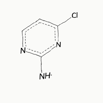 [NH]c1nccc(Cl)n1